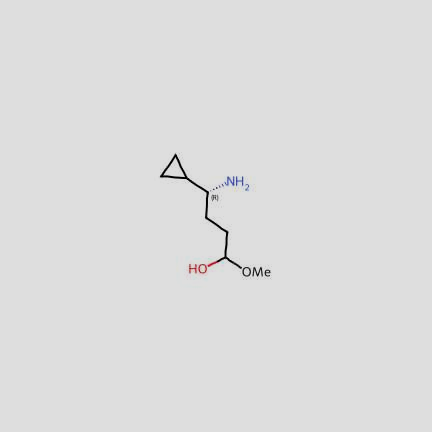 COC(O)CC[C@@H](N)C1CC1